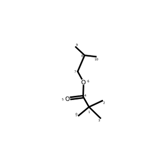 [CH2]C(C)(C)C(=O)OCC(C)C